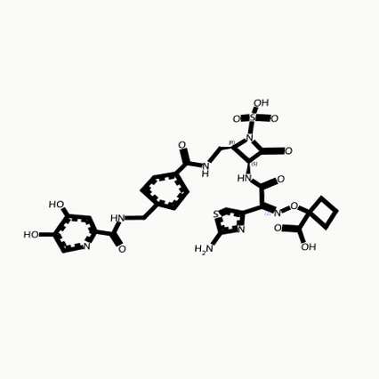 Nc1nc(/C(=N/OC2(C(=O)O)CCC2)C(=O)N[C@@H]2C(=O)N(S(=O)(=O)O)[C@@H]2CNC(=O)c2ccc(CNC(=O)c3cc(O)c(O)cn3)cc2)cs1